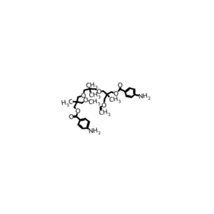 C=COCC(C)(COCC(C)(C)COCC(C)(COC)COC(=O)c1ccc(N)cc1)COC(=O)c1ccc(N)cc1